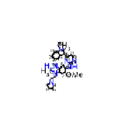 COc1cc(N(C)CCN2CCCC2)c(N)cc1Nc1nccc(-c2cn(C)c3ccccc23)n1